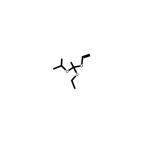 [CH2]COC(C)(OC=C)OC(C)C